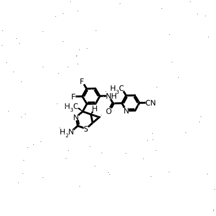 Cc1cc(C#N)cnc1C(=O)Nc1cc(F)c(F)c([C@@]2(C)N=C(N)SC3C[C@H]32)c1